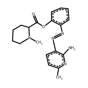 Cc1ccc(/N=N/c2ccccc2OC(=O)C2CCCCN2C)c(N)n1